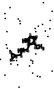 Cc1nc[nH]c1CNCC1CC1